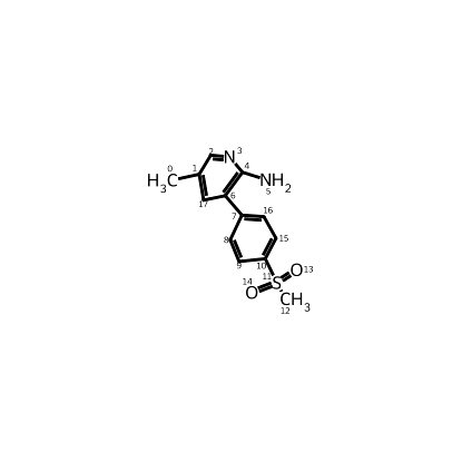 Cc1cnc(N)c(-c2ccc(S(C)(=O)=O)cc2)c1